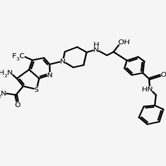 NC(=O)c1sc2nc(N3CCC(NCC(O)c4ccc(C(=O)NCc5ccccc5)cc4)CC3)cc(C(F)(F)F)c2c1N